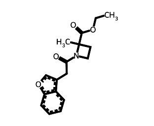 CCOC(=O)C1(C)CCN1C(=O)Cc1coc2ccccc12